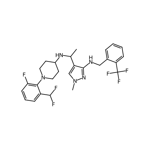 CC(NC1CCN(c2c(F)cccc2C(F)F)CC1)c1cn(C)nc1NCc1ccccc1C(F)(F)F